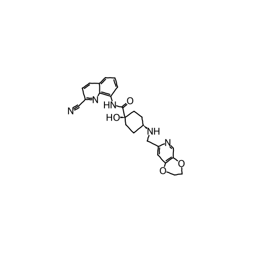 N#Cc1ccc2cccc(NC(=O)[C@]3(O)CC[C@@H](NCc4cc5c(cn4)OCCO5)CC3)c2n1